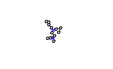 c1ccc(-c2ccccc2-c2ccc(N(c3ccc(-c4ccc5c(ccc6ccccc65)c4)cc3)c3cccc(-c4cccc5c4c4cc6ccccc6cc4n5-c4ccccc4)c3)cc2)cc1